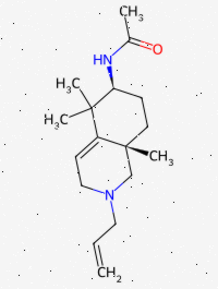 C=CCN1CC=C2C(C)(C)[C@@H](NC(C)=O)CC[C@]2(C)C1